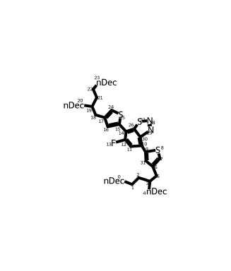 CCCCCCCCCCCCC(CCCCCCCCCC)Cc1csc(-c2cc(F)c(-c3cc(CC(CCCCCCCCCC)CCCCCCCCCCCC)cs3)c3snnc23)c1